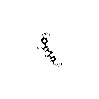 N#Cc1sc(NC(=O)c2ccc(C(=O)O)s2)nc1-c1ccc(OC(F)(F)F)cc1